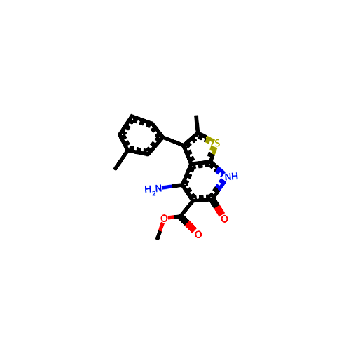 COC(=O)c1c(N)c2c(-c3cccc(C)c3)c(C)sc2[nH]c1=O